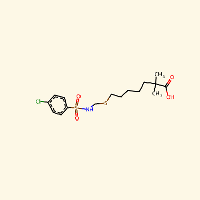 CC(C)(CCCCCSCNS(=O)(=O)c1ccc(Cl)cc1)C(=O)O